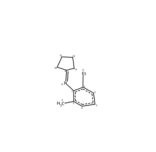 CCc1cccc(C)c1N=C1CCCC1